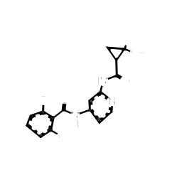 CC1(C)CC1C(=O)Nc1cc(NC(=O)c2c(F)cccc2Cl)ccn1